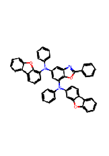 c1ccc(-c2nc3cc(N(c4ccccc4)c4cccc5c4oc4ccccc45)cc(N(c4ccccc4)c4ccc5c(c4)oc4ccccc45)c3o2)cc1